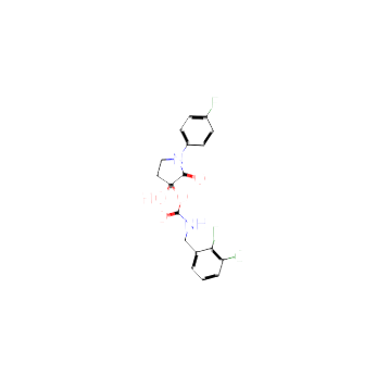 O=C(NCc1cccc(Cl)c1F)O[C@]1(O)CCN(c2ccc(F)cc2)C1=O